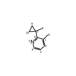 Cc1cccnc1C1(C)CC1